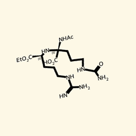 CCOC(=O)[C@H](CCCNC(=N)N)N[C@@](CCCNC(N)=O)(NC(C)=O)C(=O)O